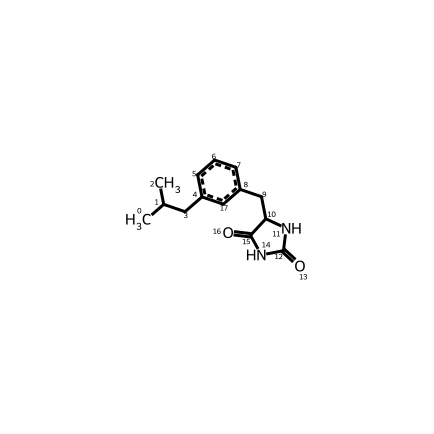 CC(C)Cc1cccc(CC2NC(=O)NC2=O)c1